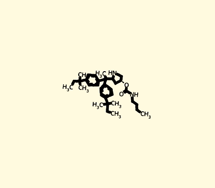 CCCCNC(=O)O[C@H]1CNC(C(C)(c2ccc(C(C)(C)CC)cc2)c2ccc(C(C)(C)CC)cc2)C1